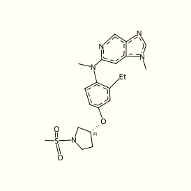 CCc1cc(O[C@@H]2CCN(S(C)(=O)=O)C2)ccc1N(C)c1cc2c(cn1)ncn2C